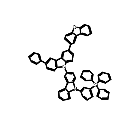 c1ccc(-c2ccc3c(c2)c2cc(-c4ccc5oc6ccccc6c5c4)ccc2n3-c2ccc3c(c2)c2ccccc2n3-c2cccc([Si](c3ccccc3)(c3ccccc3)c3ccccc3)c2)cc1